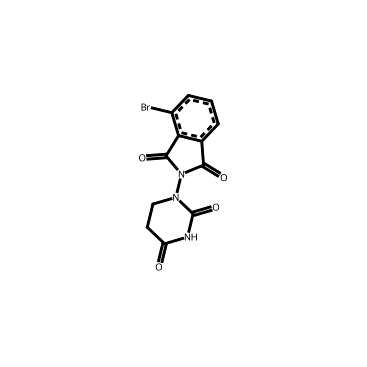 O=C1CCN(N2C(=O)c3cccc(Br)c3C2=O)C(=O)N1